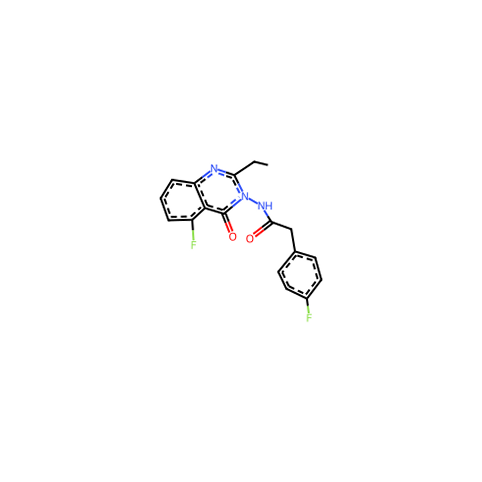 CCc1nc2cccc(F)c2c(=O)n1NC(=O)Cc1ccc(F)cc1